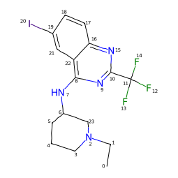 CCN1CCCC(Nc2nc(C(F)(F)F)nc3ccc(I)cc23)C1